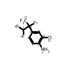 Nc1ccc(C(F)(C(F)F)C(F)(F)F)cc1Cl